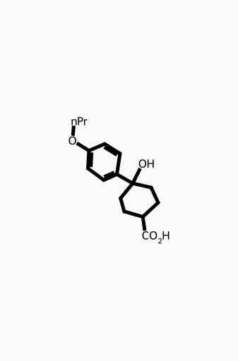 CCCOc1ccc(C2(O)CCC(C(=O)O)CC2)cc1